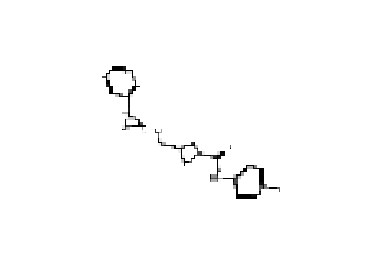 O=C(Nc1ccc(F)cc1)N1CC(CN[C@@H]2C[C@H]2c2ccccc2)C1